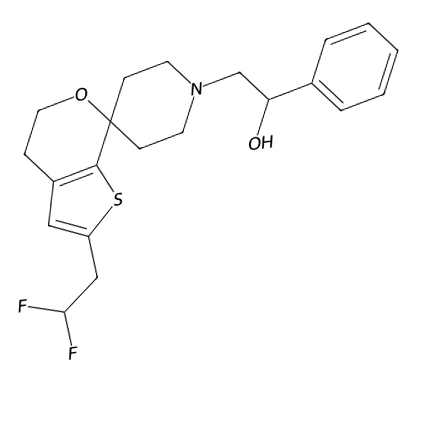 OC(CN1CCC2(CC1)OCCc1cc(CC(F)F)sc12)c1ccccc1